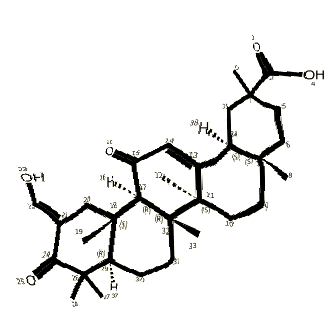 CC1(C(=O)O)CC[C@]2(C)CC[C@]3(C)C(=CC(=O)[C@@H]4[C@@]5(C)CC(=CO)C(=O)C(C)(C)[C@@H]5CC[C@]43C)[C@H]2C1